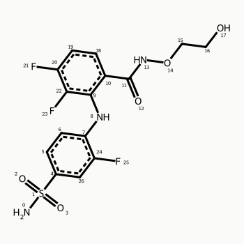 NS(=O)(=O)c1ccc(Nc2c(C(=O)NOCCO)ccc(F)c2F)c(F)c1